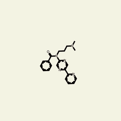 CN(C)CCCN(C(=O)c1ccccc1)c1cnc(-c2ccccn2)cn1